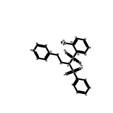 O=S(=O)(c1ccccc1)N(CCc1ccncc1)S(=O)(=O)c1ccccc1C(F)(F)F